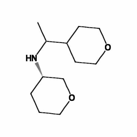 CC(N[C@H]1CCCOC1)C1CCOCC1